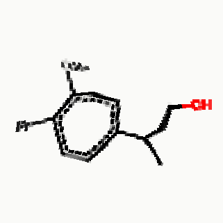 [CH2]C(CO)c1ccc(C(C)C)c(OC)c1